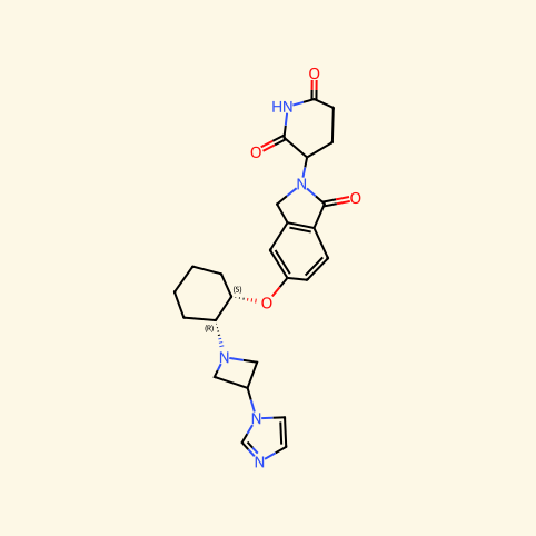 O=C1CCC(N2Cc3cc(O[C@H]4CCCC[C@H]4N4CC(n5ccnc5)C4)ccc3C2=O)C(=O)N1